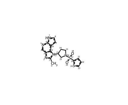 Cc1nc2cnc3[nH]ccc3c2n1C1CCN(S(=O)(=O)c2cccs2)C1